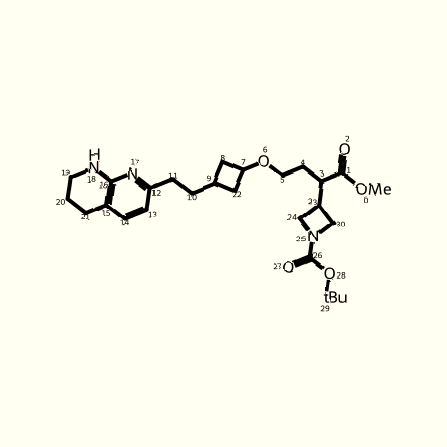 COC(=O)C(CCOC1CC(CCc2ccc3c(n2)NCCC3)C1)C1CN(C(=O)OC(C)(C)C)C1